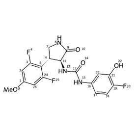 COc1cc(F)c([C@@H]2CNC(=O)[C@H]2NC(=O)Nc2ccc(F)c(O)c2)c(F)c1